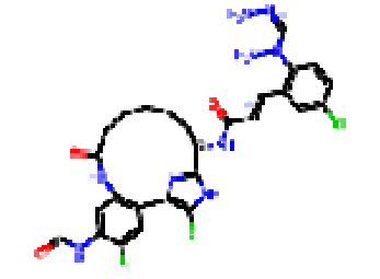 N/N=C\N(N)c1ccc(Cl)cc1/C=C/C(=O)N[C@H]1CCCCCC(=O)Nc2cc(NC=O)c(Cl)cc2-c2nc1[nH]c2Cl